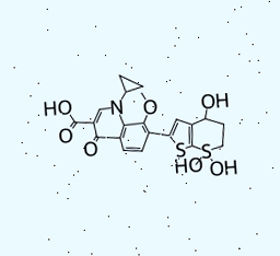 COc1c(-c2cc3c(s2)S(O)(O)CCC3O)ccc2c(=O)c(C(=O)O)cn(C3CC3)c12